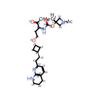 COC(=O)C(CCO[C@H]1C[C@H](CCc2ccc3c(n2)NCCC3)C1)NC(=O)OC1(C)CN(C(C)=O)C1